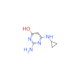 Nc1nc(O)cc(NC2CC2)n1